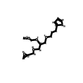 COCOC(COCCCc1cccs1)COCC1CO1